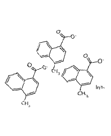 Cc1ccc(C(=O)[O-])c2ccccc12.Cc1ccc(C(=O)[O-])c2ccccc12.Cc1ccc(C(=O)[O-])c2ccccc12.[In+3]